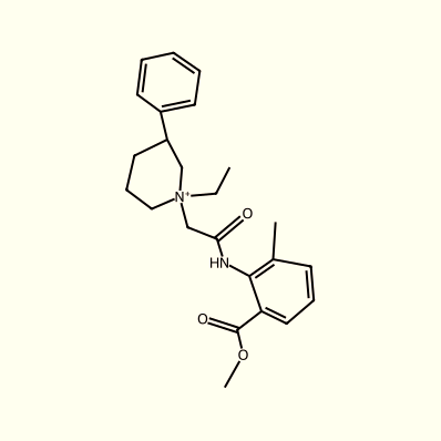 CC[N+]1(CC(=O)Nc2c(C)cccc2C(=O)OC)CCCC(c2ccccc2)C1